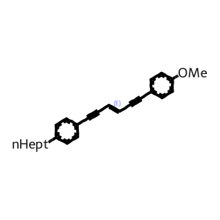 CCCCCCCc1ccc(C#C/C=C/C#Cc2ccc(OC)cc2)cc1